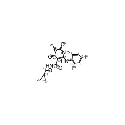 Cn1c(Nc2ccc(I)cc2F)c(C(=O)NOCC2CC2)c(=O)n(C)c1=O